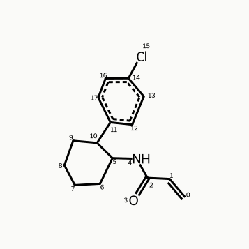 C=CC(=O)NC1CCCCC1c1ccc(Cl)cc1